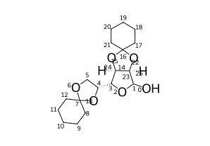 OC1OC([C@H]2COC3(CCCCC3)O2)[C@H]2OC3(CCCCC3)O[C@@H]12